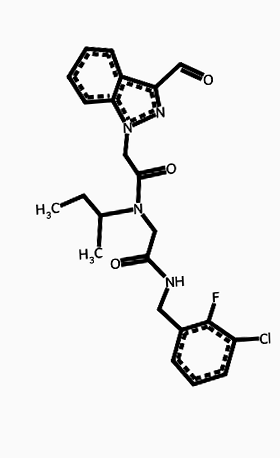 CCC(C)N(CC(=O)NCc1cccc(Cl)c1F)C(=O)Cn1nc(C=O)c2ccccc21